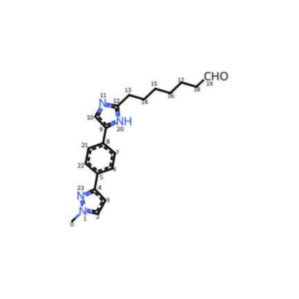 Cn1ccc(-c2ccc(-c3cnc(CCCCCCC=O)[nH]3)cc2)n1